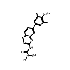 COc1c(C)cc(-c2ccc3ncc(NC(=O)N(S)C(C)C)nc3c2)cc1C